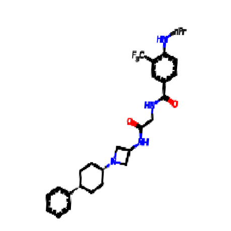 CCCNc1ccc(C(=O)NCC(=O)NC2CN([C@H]3CC[C@@H](c4ccccc4)CC3)C2)cc1C(F)(F)F